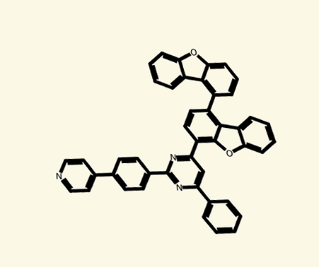 c1ccc(-c2cc(-c3ccc(-c4cccc5oc6ccccc6c45)c4c3oc3ccccc34)nc(-c3ccc(-c4ccncc4)cc3)n2)cc1